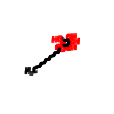 CCCCCCCCCCCC(=O)O[C@@H]1O[C@H](CO)[C@@H](O)[C@H](O)[C@H]1O